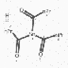 CCC[C](=O)[Sn]([C](=O)CCC)[C](=O)CCC.[H-]